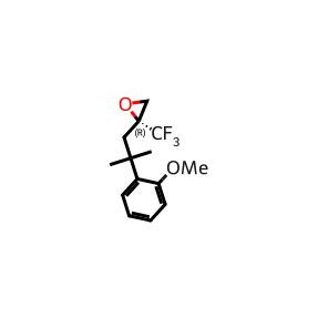 COc1ccccc1C(C)(C)C[C@]1(C(F)(F)F)CO1